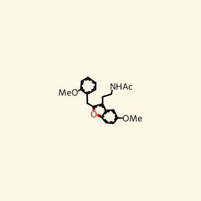 COc1ccc2oc(Cc3ccccc3OC)c(CCNC(C)=O)c2c1